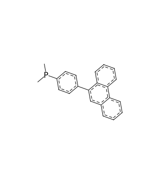 CP(C)c1ccc(-c2cc3ccccc3c3ccccc23)cc1